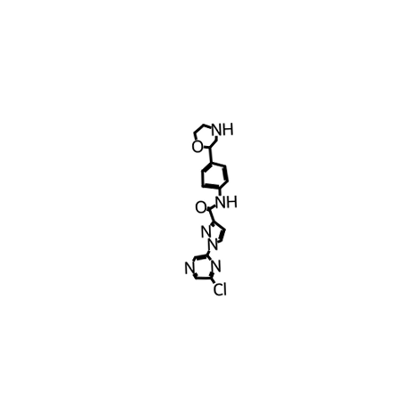 O=C(Nc1ccc(C2CNCCO2)cc1)c1ccn(-c2cncc(Cl)n2)n1